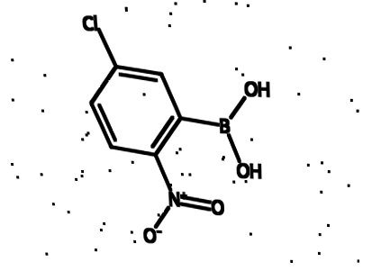 O=[N+]([O-])c1ccc(Cl)cc1B(O)O